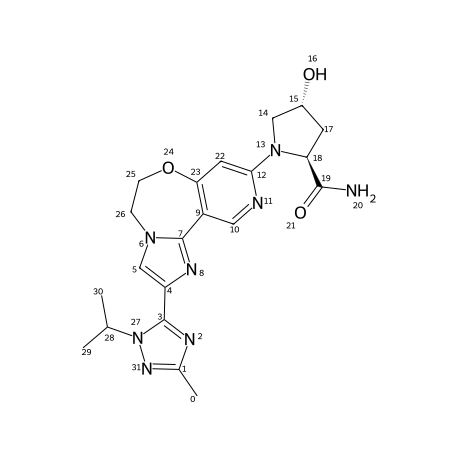 Cc1nc(-c2cn3c(n2)-c2cnc(N4C[C@H](O)C[C@H]4C(N)=O)cc2OCC3)n(C(C)C)n1